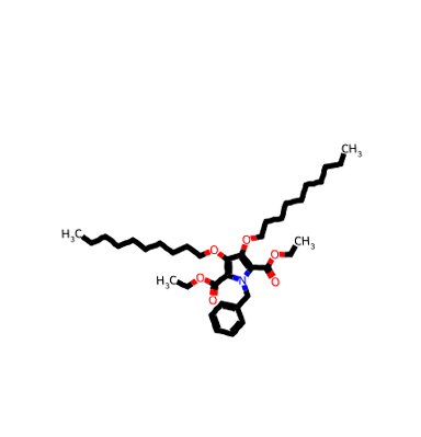 CCCCCCCCCCOc1c(OCCCCCCCCCC)c(C(=O)OCC)n(Cc2ccccc2)c1C(=O)OCC